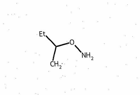 [CH2]C(CC)ON